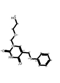 O=c1[nH]c(=O)n(COCCO)cc1CSc1ccccc1